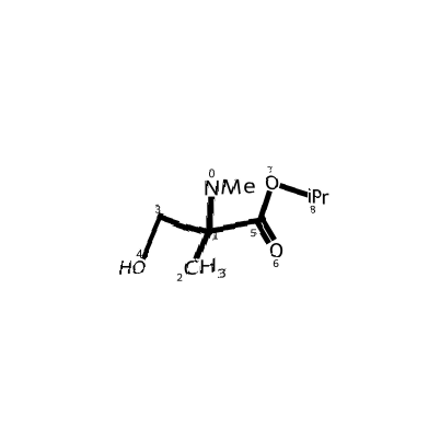 CNC(C)(CO)C(=O)OC(C)C